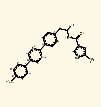 CC(C)c1cc(C(=O)NC(C=O)Cc2ccc(-c3ncc(-c4ccc(C(C)(C)C)cc4)cn3)cc2)cs1